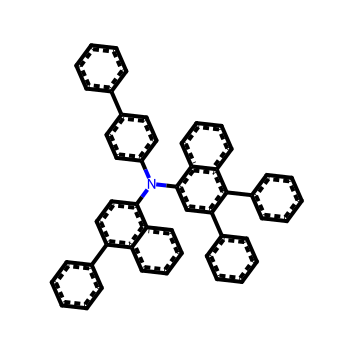 c1ccc(-c2ccc(N(c3ccc(-c4ccccc4)c4ccccc34)c3cc(-c4ccccc4)c(-c4ccccc4)c4ccccc34)cc2)cc1